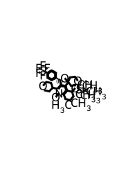 CC1(C)Cc2c(c3c(c(C4CCOCC4)[n+]2[O-])[C@@H](c2ccc(S(F)(F)(F)(F)F)cc2)OC32CCOCC2)C(O[Si](C)(C)C(C)(C)C)C1